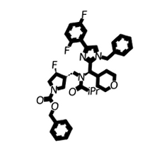 CC(C)C(=O)N(C[C@@H]1CN(C(=O)OCc2ccccc2)C[C@@H]1F)[C@@H](c1nc(-c2cc(F)ccc2F)cn1Cc1ccccc1)C1CCOCC1